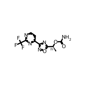 C[C@H](OC(N)=O)c1nc(-c2ccnc(C(F)(F)F)n2)no1